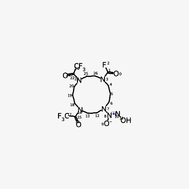 O=C(F)N1CCCN(/[N+]([O-])=N/O)CCN(C(=O)C(F)(F)F)CCCN(C(=O)C(F)(F)F)CC1